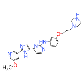 COc1cncc(-c2ncc(-c3ccnc(Nc4cccc(OCCCN5CCNCC5)c4)n3)[nH]2)c1